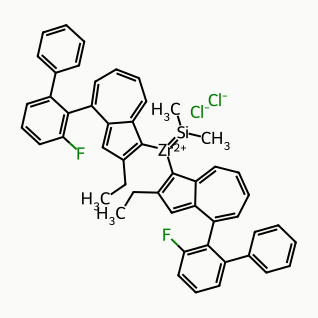 CCc1cc2c(-c3c(F)cccc3-c3ccccc3)ccccc-2[c]1[Zr+2]([c]1c(CC)cc2c(-c3c(F)cccc3-c3ccccc3)ccccc1-2)=[Si](C)C.[Cl-].[Cl-]